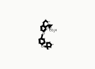 COc1ccc(COc2ccc3c(c2)[C@@]2(CCC3)C[C@@H]2C(=O)O)cc1[C@@H]1CCCC1(C)C